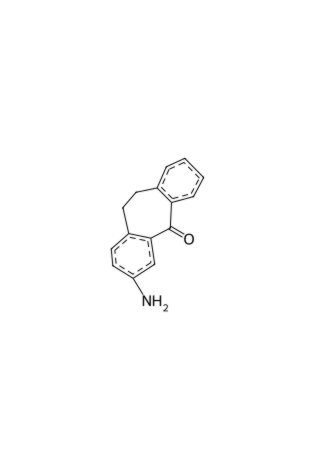 Nc1ccc2c(c1)C(=O)c1ccccc1CC2